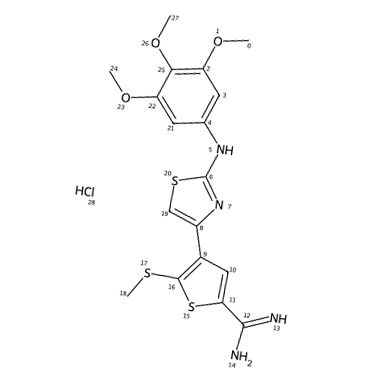 COc1cc(Nc2nc(-c3cc(C(=N)N)sc3SC)cs2)cc(OC)c1OC.Cl